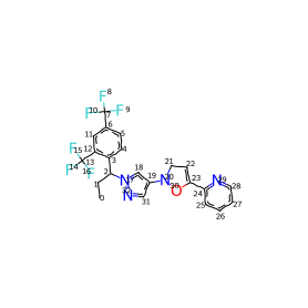 CCC(c1ccc(C(F)(F)F)cc1C(F)(F)F)n1cc(N2CC=C(c3ccccn3)O2)cn1